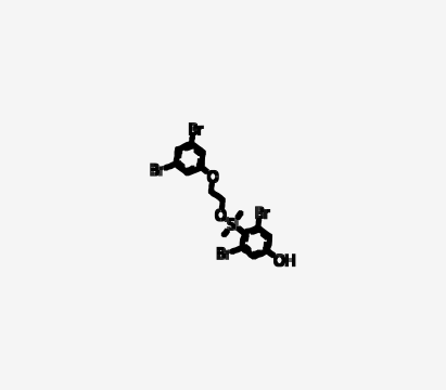 C[Si](C)(OCCOc1cc(Br)cc(Br)c1)c1c(Br)cc(O)cc1Br